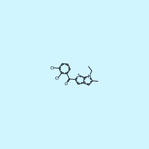 CCn1c(C)cc2cc(C(=O)c3cccc(Cl)c3Cl)sc21